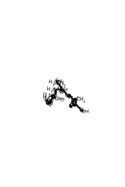 COc1cc(C(C)OC(=O)ON2C(=O)CCC2=O)c([N+](=O)[O-])cc1OCCN(C)CCNC(=O)C(CCCC[N+](C)(C)C)NC(=O)CCCOc1ccc(/C=C/C2=[N+]3C(=Cc4c(CCCSOOO)cc(-c5cccs5)n4[B-]3(F)F)C(C)=C2)cc1